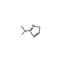 CN(C)c1ccsn1